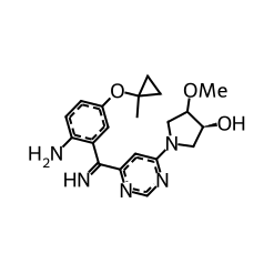 COC1CN(c2cc(C(=N)c3cc(OC4(C)CC4)ccc3N)ncn2)C[C@@H]1O